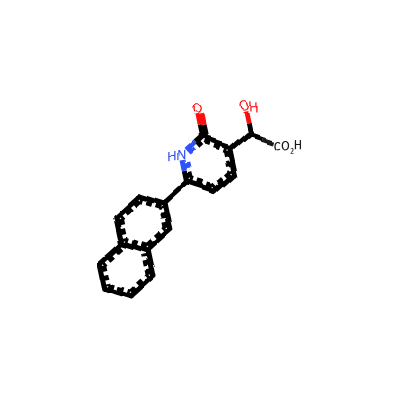 O=C(O)C(O)c1ccc(-c2ccc3ccccc3c2)[nH]c1=O